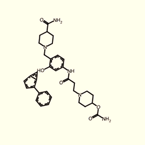 NC(=O)OC1CCN(CCC(=O)Nc2ccc(CN3CCC(C(N)=O)CC3)c(O)c2)CC1.c1ccc(-c2ccc3cc2-3)cc1